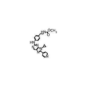 COC(=O)NCCc1ccc(Nc2ncc3nc(-c4ccncc4)n(C4CC4)c3n2)cc1